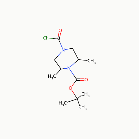 CC1CN(C(=O)Cl)CC(C)N1C(=O)OC(C)(C)C